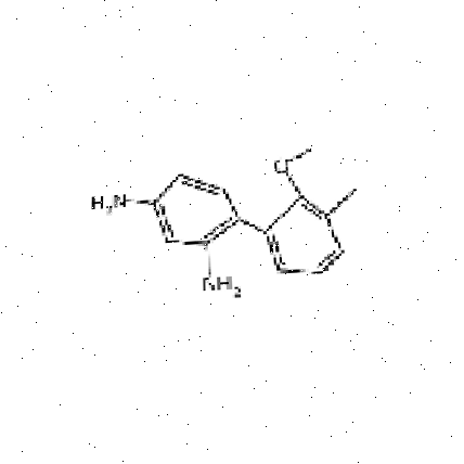 COc1c(C)cccc1-c1ccc(N)cc1N